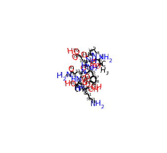 C[C@@H](O)[C@H](N)C(=O)N1CCC[C@H]1C(=O)N[C@@H](CCC(=O)O)C(=O)N[C@@H](Cc1ccc(O)cc1)C(=O)N[C@@H](CCC(N)=O)C(=O)N[C@H](C(=O)N[C@@H](CCCCN)C(=O)O)[C@@H](C)O